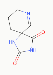 O=C1NC(=O)C2(C=NCCC2)N1